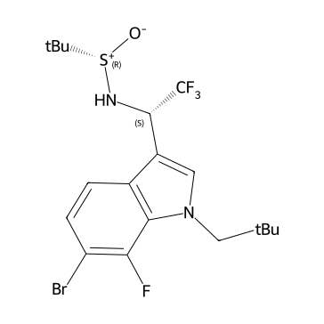 CC(C)(C)Cn1cc([C@H](N[S@@+]([O-])C(C)(C)C)C(F)(F)F)c2ccc(Br)c(F)c21